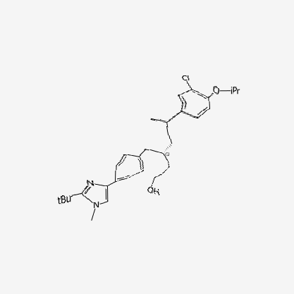 CC(C)Oc1ccc(C(C)C[C@H](CCO)Cc2ccc(-c3cn(C)c(C(C)(C)C)n3)cc2)cc1Cl